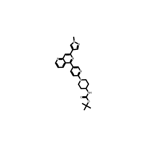 Cn1cc(-c2cc3ncccc3c(-c3ccc(N4CCC(NC(=O)OC(C)(C)C)CC4)nc3)n2)cn1